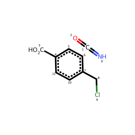 N=C=O.O=C(O)c1ccc(CCl)cc1